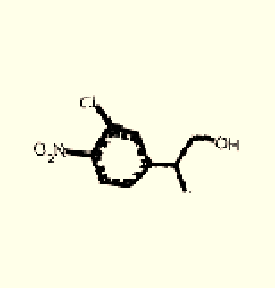 [CH2]C(CO)c1ccc([N+](=O)[O-])c(Cl)c1